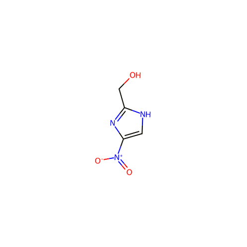 O=[N+]([O-])c1c[nH]c(CO)n1